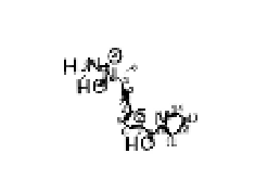 C[C@H](C#Cc1ccc(C(O)c2ccccn2)s1)N(O)C(N)=O